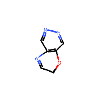 C1=Nc2cnncc2OC1